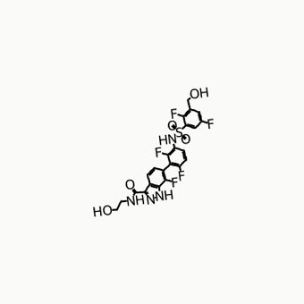 O=C(NCCO)c1n[nH]c2c(F)c(-c3c(F)ccc(NS(=O)(=O)c4cc(F)cc(CO)c4F)c3F)ccc12